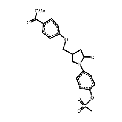 COC(=O)c1ccc(OCC2CC(=O)N(c3ccc(OS(C)(=O)=O)cc3)C2)cc1